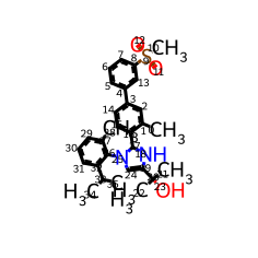 Cc1cc(-c2cccc(S(C)(=O)=O)c2)ccc1C1NC(C(C)(C)O)=CN1c1c(C)cccc1C(C)C